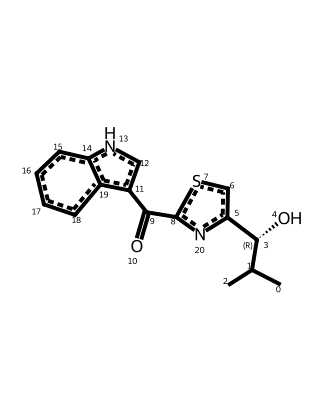 CC(C)[C@@H](O)c1csc(C(=O)c2c[nH]c3ccccc23)n1